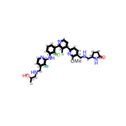 COc1nc(-c2ccnc(-c3cccc(Nc4nccc(CNCC(C)O)c4F)c3Cl)c2C)ccc1CNCC1CCC(=O)N1